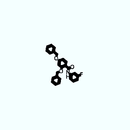 O=C(Nc1cccc(F)c1)c1ccc(OCc2ccccc2)cc1OCc1ccccc1